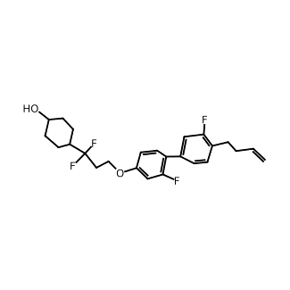 C=CCCc1ccc(-c2ccc(OCCC(F)(F)C3CCC(O)CC3)cc2F)cc1F